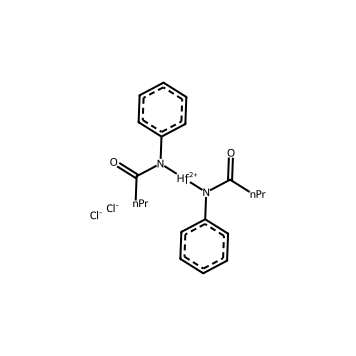 CCCC(=O)[N]([Hf+2][N](C(=O)CCC)c1ccccc1)c1ccccc1.[Cl-].[Cl-]